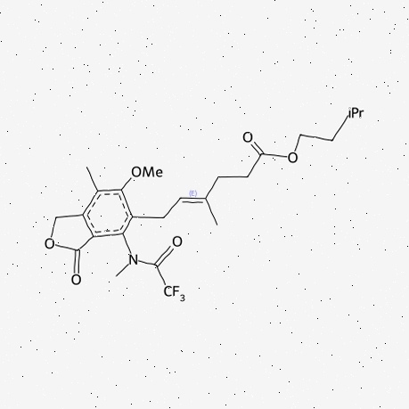 COc1c(C)c2c(c(N(C)C(=O)C(F)(F)F)c1C/C=C(\C)CCC(=O)OCCC(C)C)C(=O)OC2